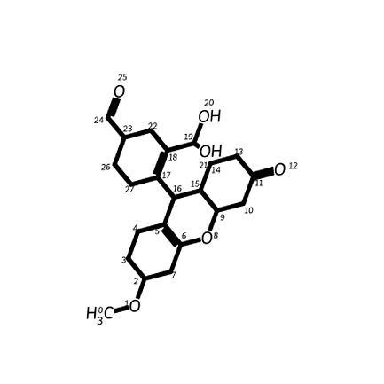 COC1CCC2=C(C1)OC1CC(=O)CCC1C2C1=C(C(O)O)CC(C=O)CC1